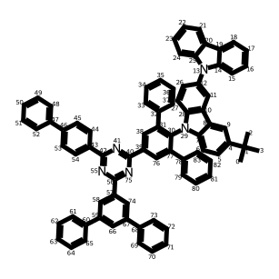 CC(C)(C)c1ccc2c(c1)c1cc(-n3c4ccccc4c4ccccc43)ccc1n2-c1c(-c2ccccc2)cc(-c2nc(-c3ccc(-c4ccccc4)cc3)nc(-c3cc(-c4ccccc4)cc(-c4ccccc4)c3)n2)cc1-c1ccccc1